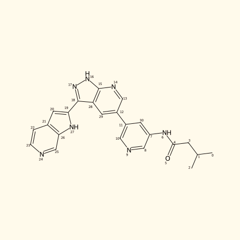 CC(C)CC(=O)Nc1cncc(-c2cnc3[nH]nc(-c4cc5ccncc5[nH]4)c3c2)c1